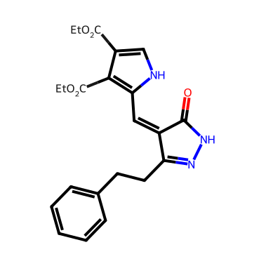 CCOC(=O)c1c[nH]c(C=C2C(=O)NN=C2CCc2ccccc2)c1C(=O)OCC